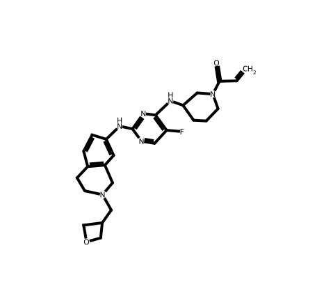 C=CC(=O)N1CCCC(Nc2nc(Nc3ccc4c(c3)CN(CC3COC3)CC4)ncc2F)C1